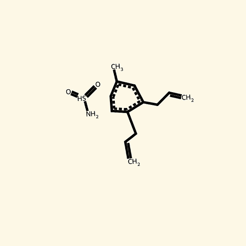 C=CCc1ccc(C)cc1CC=C.N[SH](=O)=O